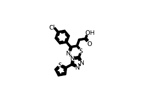 O=C(O)CC1Sc2nnc(-c3cccs3)n2N=C1c1ccc(Cl)cc1